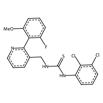 COc1cccc(F)c1-c1ncccc1CNC(=S)Nc1cccc(Cl)c1Cl